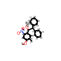 COc1cc([N+](=O)[O-])c(C(O[SiH3])C(c2ccccc2)c2ccccc2)cc1C